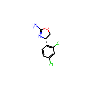 NC1=N[C@@H](c2ccc(Cl)cc2Cl)CO1